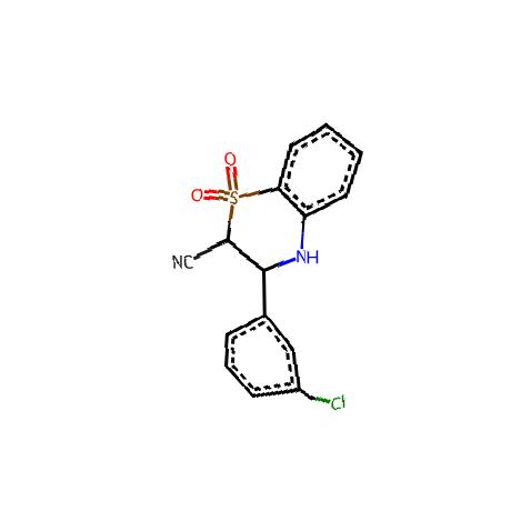 N#CC1C(c2cccc(Cl)c2)Nc2ccccc2S1(=O)=O